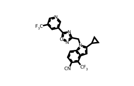 [C-]#[N+]c1ccc2c(cc(C3CC3)n2Cc2noc(-c3cncc(C(F)(F)F)c3)n2)c1C(F)(F)F